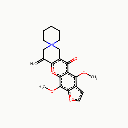 C=C1C[N+]2(CCCCC2)Cc2c1oc1c(OC)c3occc3c(OC)c1c2=O